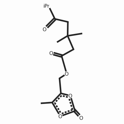 Cc1oc(=O)oc1COC(=O)CC(C)(C)CC(=O)C(C)C